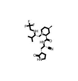 CC(C)[C@@H](CN1CC[C@@H](C)C[C@H]1C(=O)N[C@H](C#N)C[C@@H]1CCNC1=O)NCC(F)(F)F